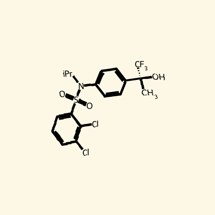 CC(C)N(c1ccc([C@](C)(O)C(F)(F)F)cc1)S(=O)(=O)c1cccc(Cl)c1Cl